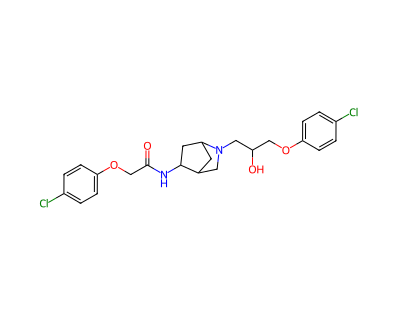 O=C(COc1ccc(Cl)cc1)NC1CC2CC1CN2CC(O)COc1ccc(Cl)cc1